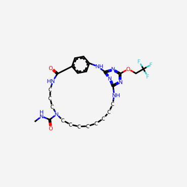 CNC(=O)N1CCCCCCCCNc2nc(nc(OCC(F)(F)F)n2)Nc2ccc(cc2)C(=O)NCCC1